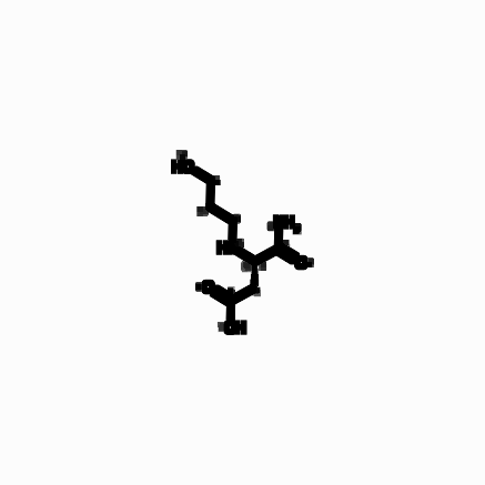 NC(=O)[C@H](CC(=O)O)NCCCO